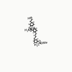 COC(C)Oc1cccc(C=CC=Cc2cccc(OC(C)(C)Cc3cccc(C=CO)c3)c2)c1